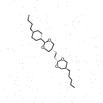 CCCCC[C@H]1CO[C@H](CC[C@H]2CO[C@H]([C@H]3CC[C@H](CCCC)CC3)OC2)OC1